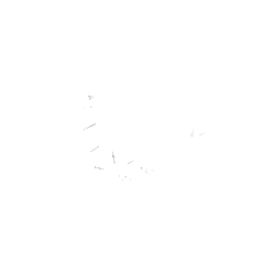 CCCCCCCCCCCCCCCCCC(=O)OS(=O)(=O)[O-].COC(=O)c1ccc(O)cc1.[Na+]